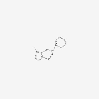 Fc1[c]sc2ccc(-c3ccccc3)cc12